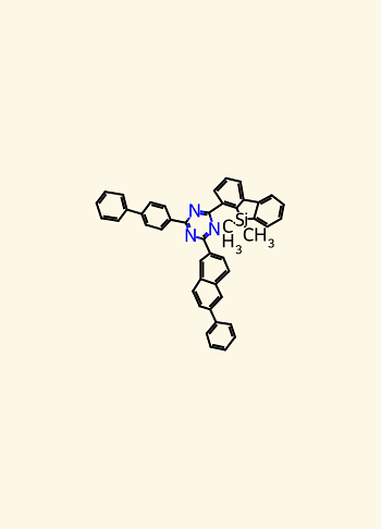 C[Si]1(C)c2ccccc2-c2cccc(-c3nc(-c4ccc(-c5ccccc5)cc4)nc(-c4ccc5cc(-c6ccccc6)ccc5c4)n3)c21